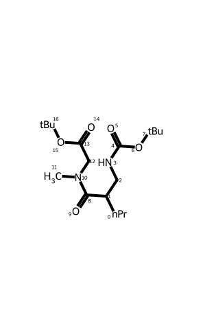 CCCC(CNC(=O)OC(C)(C)C)C(=O)N(C)CC(=O)OC(C)(C)C